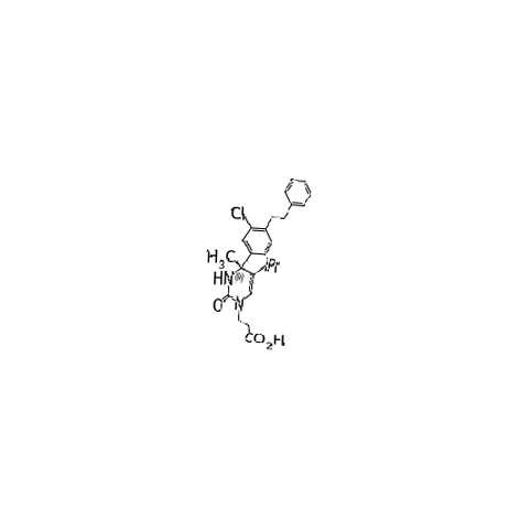 CC(C)C1=CN(CCC(=O)O)C(=O)N[C@]1(C)c1ccc(CCc2ccccc2)c(Cl)c1